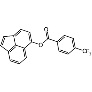 O=C(Oc1ccc2c3c(cccc13)C=C2)c1ccc(C(F)(F)F)cc1